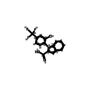 O=C(O)c1cc2ccccc2n1-c1ncc(C(F)(F)F)cc1Cl